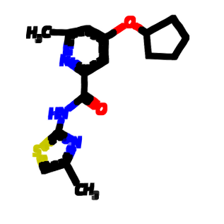 Cc1cc(OC2CCCC2)cc(C(=O)Nc2nc(C)cs2)n1